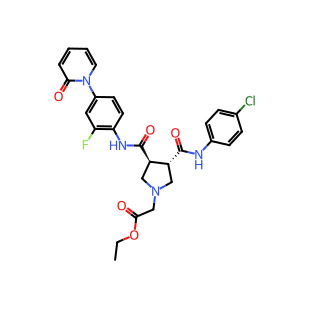 CCOC(=O)CN1C[C@@H](C(=O)Nc2ccc(Cl)cc2)[C@H](C(=O)Nc2ccc(-n3ccccc3=O)cc2F)C1